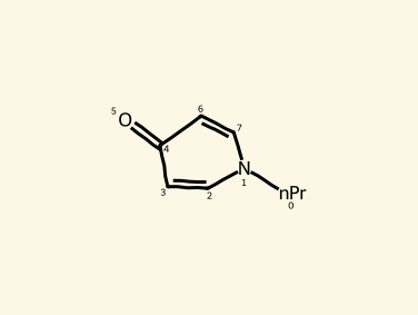 CCCn1ccc(=O)cc1